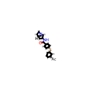 CC(=O)c1cccc(Sc2ccc(C(=O)N[C@@H]3C[C@H]4CCN(C4)C3)cc2)c1